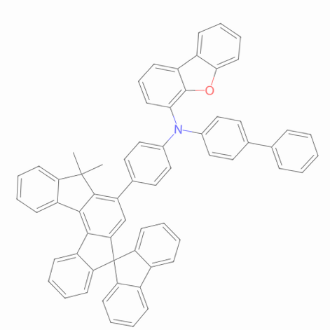 CC1(C)c2ccccc2-c2c3c(cc(-c4ccc(N(c5ccc(-c6ccccc6)cc5)c5cccc6c5oc5ccccc56)cc4)c21)C1(c2ccccc2-c2ccccc21)c1ccccc1-3